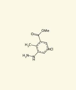 COC(=O)c1cccc(NN)c1C.Cl